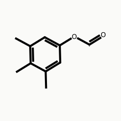 Cc1cc(O[C]=O)cc(C)c1C